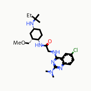 CCC(C)(C)N[C@@H]1CC[C@H](NC(=O)CNc2nc(N(C)C)nc3ccc(Cl)cc23)[C@H](COC)C1